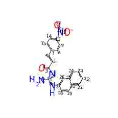 NC(=NC(=O)/C=C/c1ccc([N+](=O)[O-])cc1)Nc1ccc2ccccc2c1